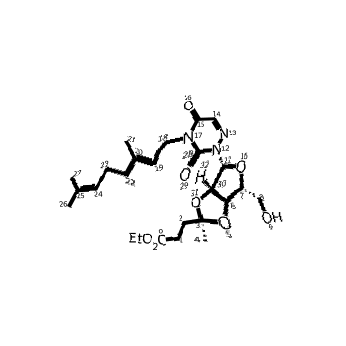 CCOC(=O)CC[C@]1(C)OC2[C@@H](CO)O[C@@H](n3ncc(=O)n(C/C=C(\C)CCC=C(C)C)c3=O)[C@H]2O1